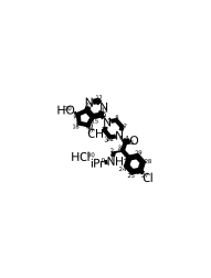 CC(C)NC[C@@H](C(=O)N1CCN(c2ncnc3c2[C@H](C)C[C@H]3O)CC1)c1ccc(Cl)cc1.Cl